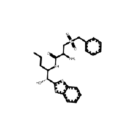 CCCC(NC(=O)C(N)CS(=O)(=O)Cc1ccccc1)[C@@H](O)c1nc2ccccc2s1